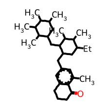 CCC1CC(Cc2cc(C)c3c(c2)CCCC3=O)C(CC2CC(C)C(C)C(C)C2C)C(C)C1C